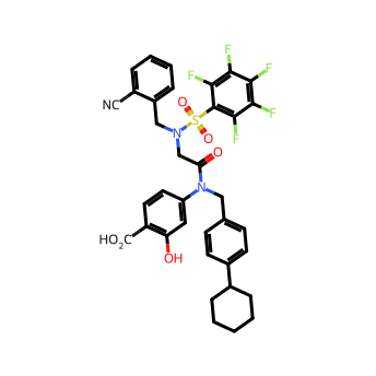 N#Cc1ccccc1CN(CC(=O)N(Cc1ccc(C2CCCCC2)cc1)c1ccc(C(=O)O)c(O)c1)S(=O)(=O)c1c(F)c(F)c(F)c(F)c1F